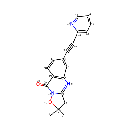 CC1(C)Cc2nc3cc(C#Cc4ccccn4)ccc3c(=O)n2O1